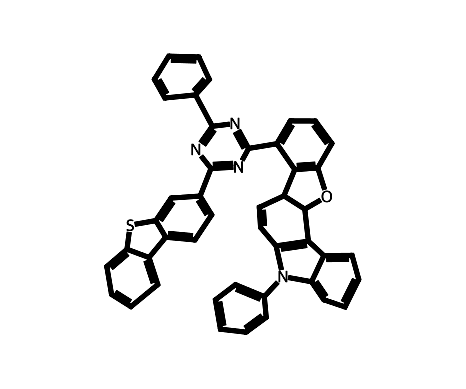 C1=CC2c3c(cccc3-c3nc(-c4ccccc4)nc(-c4ccc5c(c4)sc4ccccc45)n3)OC2c2c1n(-c1ccccc1)c1ccccc21